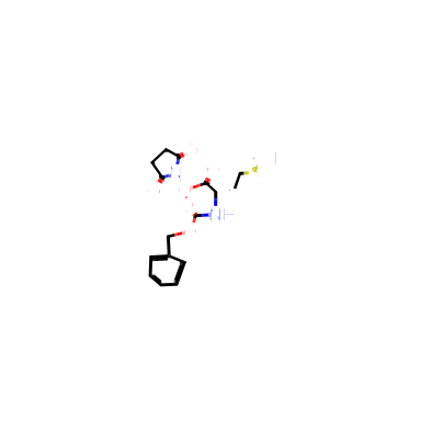 CSCC[C@H](NC(=O)OCc1ccccc1)C(=O)ON1C(=O)CCC1=O